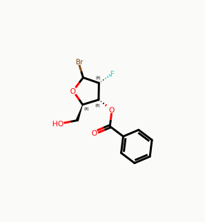 O=C(O[C@@H]1[C@@H](CO)OC(Br)[C@@H]1F)c1ccccc1